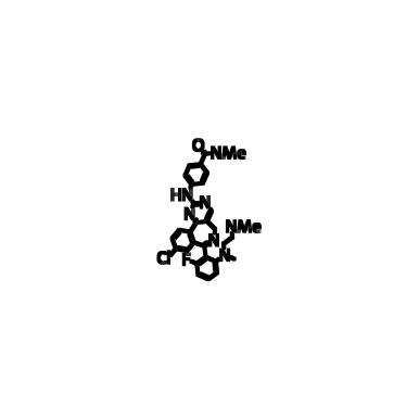 CNCCN(C)c1cccc(F)c1C1=NCc2cnc(Nc3ccc(C(=O)NC)cc3)nc2-c2ccc(Cl)cc21